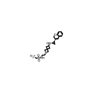 CC/C(=C\c1ccccc1)[C@H]1C[C@@H]1NC1CC2(C1)CN(CCNS(=O)(=O)CC)C2